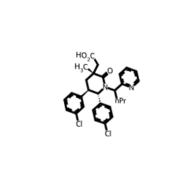 CCCC(c1ccccn1)N1C(=O)[C@@](C)(CC(=O)O)C[C@H](c2cccc(Cl)c2)[C@H]1c1ccc(Cl)cc1